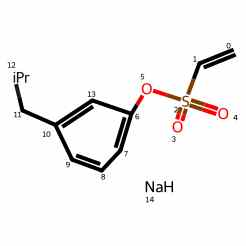 C=CS(=O)(=O)Oc1cccc(CC(C)C)c1.[NaH]